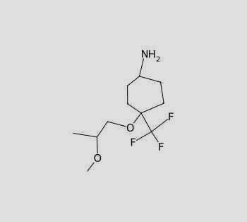 COC(C)COC1(C(F)(F)F)CCC(N)CC1